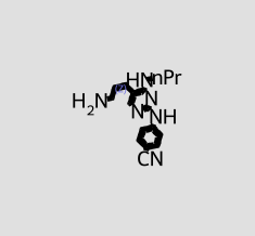 CCCNc1nc(Nc2ccc(C#N)cc2)ncc1/C=C\CN